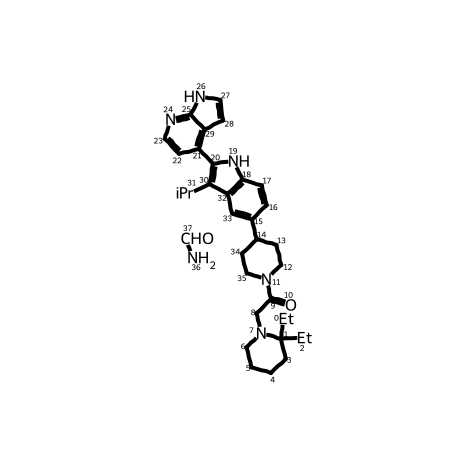 CCC1(CC)CCCCN1CC(=O)N1CCC(c2ccc3[nH]c(-c4ccnc5[nH]ccc45)c(C(C)C)c3c2)CC1.NC=O